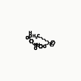 CCCCCCCC(CCOc1ccc(C(=O)NCc2ccc(C(=O)O)cc2)cc1)C12CC3CC(CC(C3)C1)C2